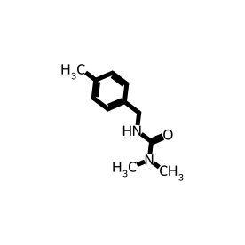 Cc1ccc(CNC(=O)N(C)C)cc1